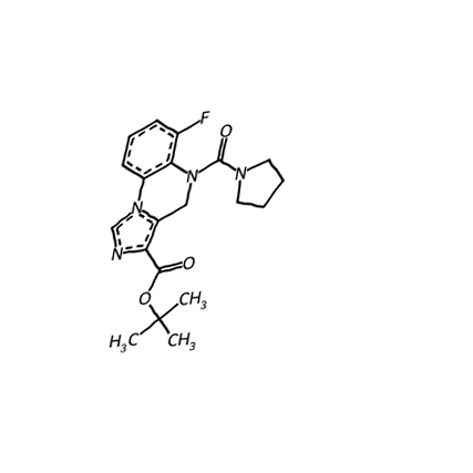 CC(C)(C)OC(=O)c1ncn2c1CN(C(=O)N1CCCC1)c1c(F)cccc1-2